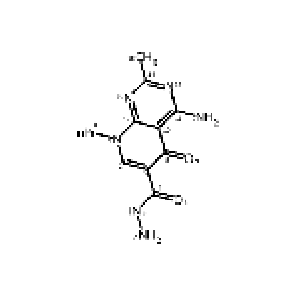 CCCn1cc(C(=O)NN)c(=O)c2c(N)nc(C)nc21